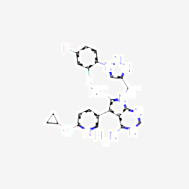 C[C@@H](c1cn(-c2ccc(F)cc2F)nn1)n1c(C#N)c(-c2ccc(OC3CC3)nc2)c2c(N)ncnc21